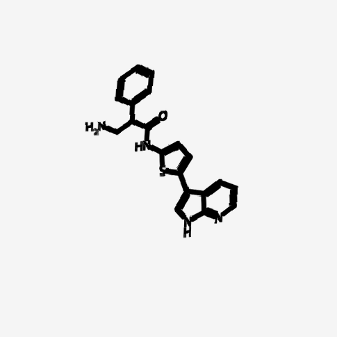 NCC(C(=O)Nc1ccc(-c2c[nH]c3ncccc23)s1)c1ccccc1